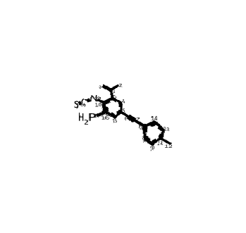 C=C(C)c1cc(C#Cc2ccc(C)cc2)cc(P)c1N=C=S